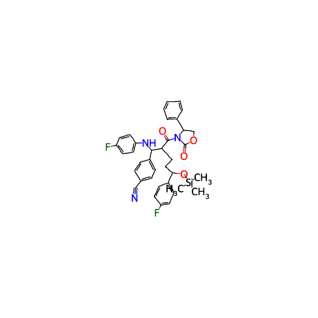 C[Si](C)(C)OC(CCC(C(=O)N1C(=O)OCC1c1ccccc1)C(Nc1ccc(F)cc1)c1ccc(C#N)cc1)c1ccc(F)cc1